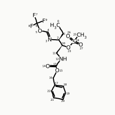 CC[C@H](N=COC(F)(F)F)[C@H](CNC(=O)OCc1ccccc1)OS(C)(=O)=O